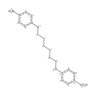 Nc1ccc(OCCCCCCOc2ccc(C(=O)O)cc2)cc1